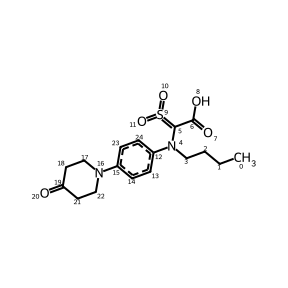 CCCCN(C(C(=O)O)=S(=O)=O)c1ccc(N2CCC(=O)CC2)cc1